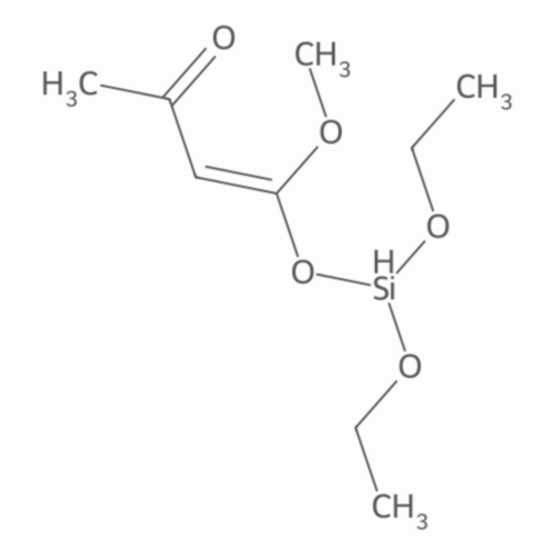 CCO[SiH](OCC)OC(=CC(C)=O)OC